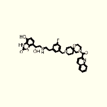 O=C(c1ccc2ccccc2n1)N1CCOC2(CCN(Cc3cc(F)cc(CCNC[C@H](O)c4ccc(O)c5[nH]c(=O)sc45)c3)CC2)C1